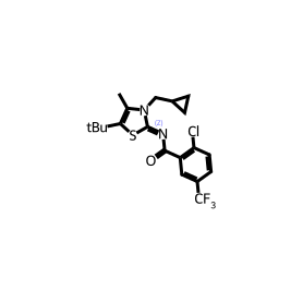 Cc1c(C(C)(C)C)s/c(=N\C(=O)c2cc(C(F)(F)F)ccc2Cl)n1CC1CC1